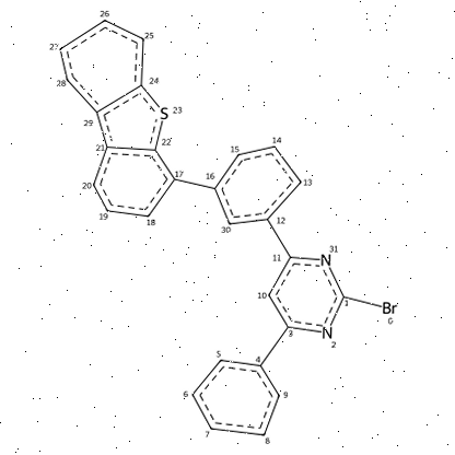 Brc1nc(-c2ccccc2)cc(-c2cccc(-c3cccc4c3sc3ccccc34)c2)n1